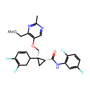 COCc1nc(C)ncc1OC[C@@]1(C2C=CC(F)=C(F)C2)C[C@H]1C(=O)Nc1cc(F)ccc1F